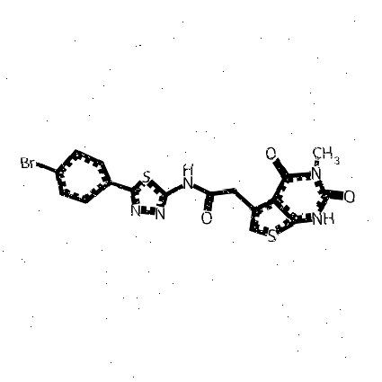 Cn1c(=O)[nH]c2scc(CC(=O)Nc3nnc(-c4ccc(Br)cc4)s3)c2c1=O